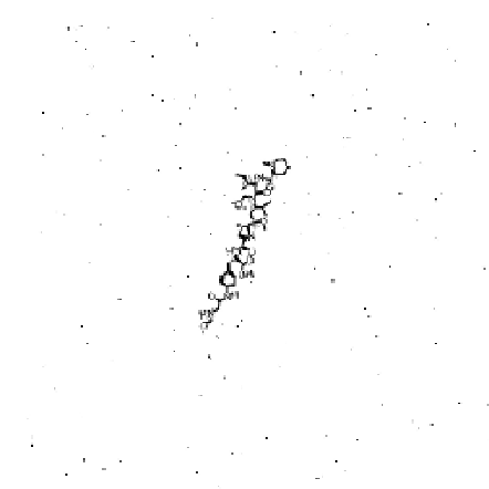 CC[C@H](C)[C@H](NC(=O)[C@H]1CCCCN1C)C(=O)N(COC)[C@H](C[C@@H](OC)c1nc(C(=O)N[C@@H](Cc2ccc(NC(=O)CNC=O)cc2)C(=O)O)cs1)C(C)C